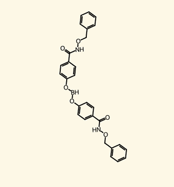 O=C(NOCc1ccccc1)c1ccc(OBOc2ccc(C(=O)NOCc3ccccc3)cc2)cc1